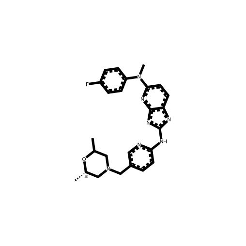 CC1CN(Cc2ccc(Nc3nc4ccc(N(C)c5ccc(F)cc5)nc4s3)nc2)C[C@H](C)O1